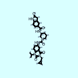 CC(C)n1c(=O)n(CC2CC2)c(=O)c2cc(NC(=O)N3CCC[C@@H](NC(=O)c4ccc5c(c4)CC(=O)N5)C3)ccc21